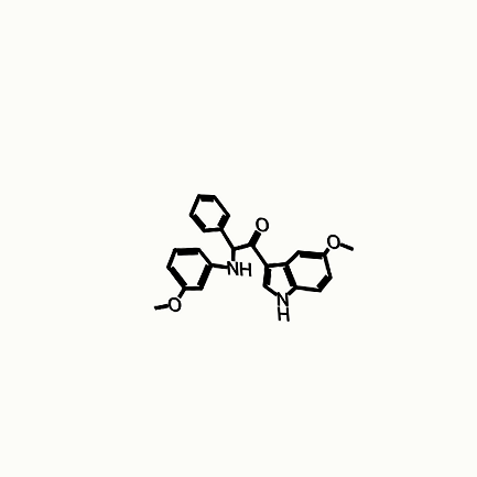 COc1cccc(NC(C(=O)c2c[nH]c3ccc(OC)cc23)c2ccccc2)c1